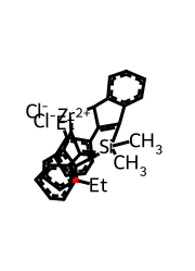 CCc1ccccc1C1=C2c3ccccc3[CH]1[Zr+2][CH]1C(c3ccccc3CC)=C(c3ccccc31)[Si]2(C)C.[Cl-].[Cl-]